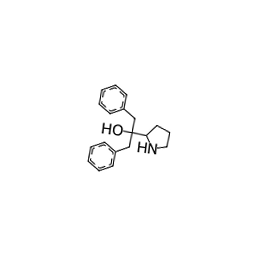 OC(Cc1ccccc1)(Cc1ccccc1)C1CCCN1